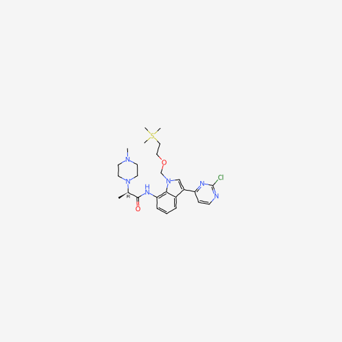 C[C@H](C(=O)Nc1cccc2c(-c3ccnc(Cl)n3)cn(COCCS(C)(C)C)c12)N1CCN(C)CC1